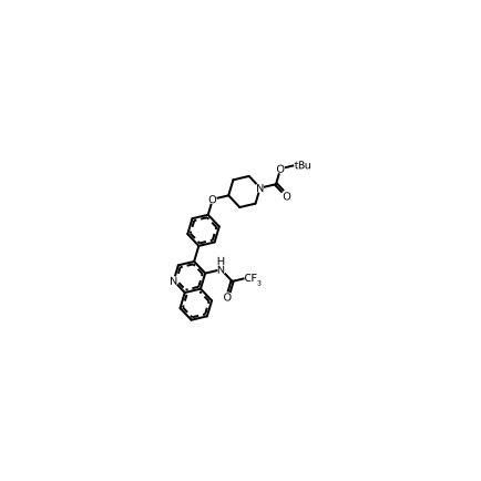 CC(C)(C)OC(=O)N1CCC(Oc2ccc(-c3cnc4ccccc4c3NC(=O)C(F)(F)F)cc2)CC1